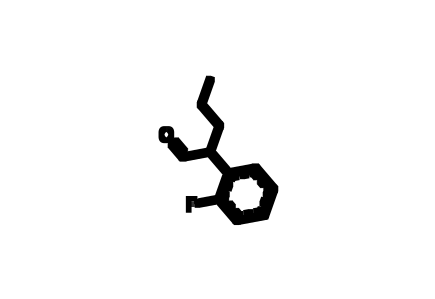 CCCC(C=O)c1ccccc1F